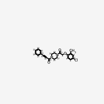 Cc1cc(Cl)ccc1OCC(=O)N1CCN(C(=O)C#Cc2ccccc2)CC1